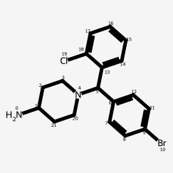 NC1CCN(C(c2ccc(Br)cc2)c2ccccc2Cl)CC1